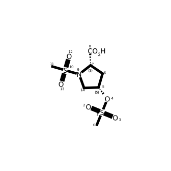 CS(=O)(=O)O[C@H]1C[C@@H](C(=O)O)N(S(C)(=O)=O)C1